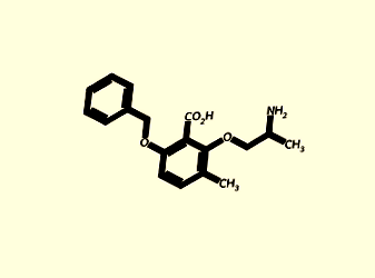 Cc1ccc(OCc2ccccc2)c(C(=O)O)c1OCC(C)N